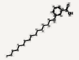 CCCCCCCCCCCCCCCOc1cccc(C(=O)O)c1